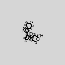 CC[N+]1(C2CCOC(C)C2)N=CC=C1C1=NOC2(CCCCC2)C1